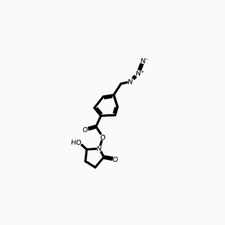 [N-]=[N+]=NCc1ccc(C(=O)ON2C(=O)CCC2O)cc1